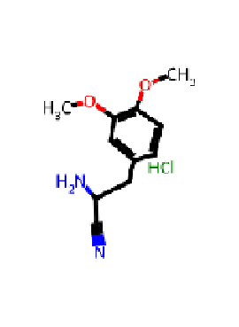 COc1ccc(CC(N)C#N)cc1OC.Cl